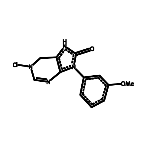 COc1cccc(-n2c3c([nH]c2=O)CN(Cl)C=N3)c1